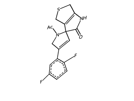 CC(=O)N1CC(c2cc(F)ccc2F)=CC12C(=O)NC1=C2CSC1